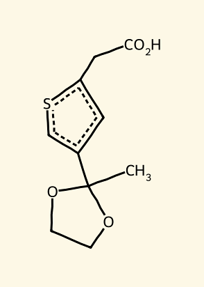 CC1(c2csc(CC(=O)O)c2)OCCO1